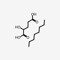 CCCCCCCC.O=C(O)CCC(O)C(=O)O